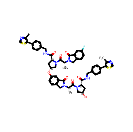 CC[C@H](C)C(C(=O)N1C[C@H](Oc2ccc3c(c2)C(=O)N([C@H](C(=O)N2C[C@H](O)C[C@H]2C(=O)NCc2ccc(-c4scnc4C(F)(F)F)cc2)C(C)C)C3)C[C@H]1C(=O)NCc1ccc(-c2scnc2C)cc1)N1Cc2ccc(F)cc2C1=O